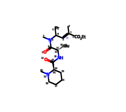 CCOC(=O)/C(C)=C/C(C(C)C)N(C)C(=O)[C@@H](NC(=O)[C@H]1CCCCN1C)C(C)(C)C